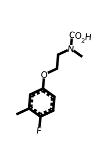 Cc1cc(OCCN(C)C(=O)O)ccc1F